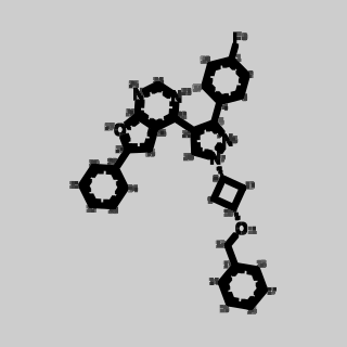 Fc1ccc(-c2nn([C@H]3C[C@@H](OCc4ccccc4)C3)cc2-c2ncnc3oc(-c4ccccc4)cc23)cc1